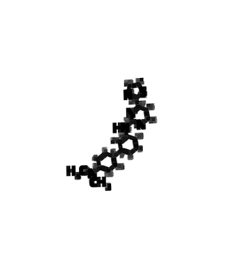 CN(C)c1ccc(-c2cccc(Nc3nccc(-c4nccs4)n3)c2)cc1